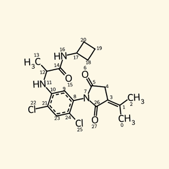 CC(C)=C1CC(=O)N(c2cc(NC(C)C(=O)NC3CCC3)c(Cl)cc2Cl)C1=O